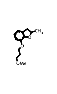 COCCCOc1cccc2c1OC(C)C2